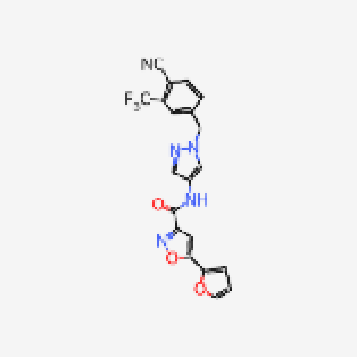 N#Cc1ccc(Cn2cc(NC(=O)c3cc(-c4ccco4)on3)cn2)cc1C(F)(F)F